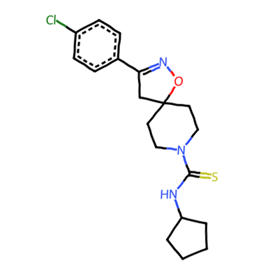 S=C(NC1CCCC1)N1CCC2(CC1)CC(c1ccc(Cl)cc1)=NO2